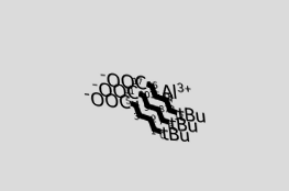 CC(C)(C)CCCCC(=O)[O-].CC(C)(C)CCCCC(=O)[O-].CC(C)(C)CCCCC(=O)[O-].[Al+3]